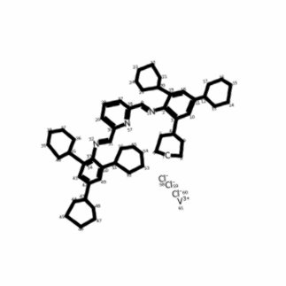 C(=Nc1c(C2CCCCC2)cc(C2CCCCC2)cc1C1CCCCC1)c1cccc(C=Nc2c(C3CCCCC3)cc(C3CCCCC3)cc2C2CCCCC2)n1.[Cl-].[Cl-].[Cl-].[V+3]